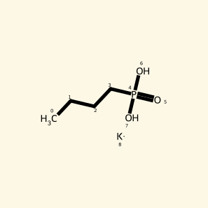 CCCCP(=O)(O)O.[K]